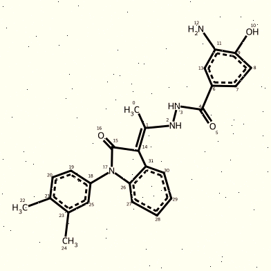 CC(NNC(=O)c1ccc(O)c(N)c1)=C1C(=O)N(c2ccc(C)c(C)c2)c2ccccc21